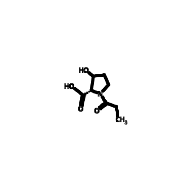 CCC(=O)N1CCC(O)[C@H]1C(=O)O